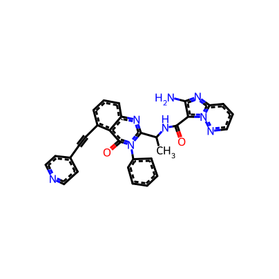 CC(NC(=O)c1c(N)nc2cccnn12)c1nc2cccc(C#Cc3ccncc3)c2c(=O)n1-c1ccccc1